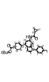 Cc1ccc(-n2ccc3c(C4=CCN(C(=O)OC(C)(C)C)CC4)cc(NC(=O)C4CC4)nc32)cc1